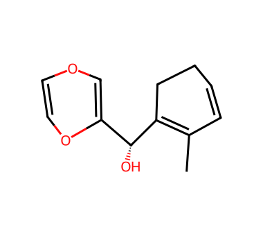 CC1=C([C@H](O)C2=COC=CO2)CCC=C1